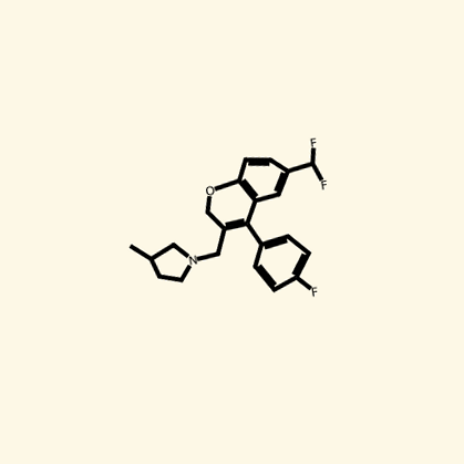 CC1CCN(CC2=C(c3ccc(F)cc3)c3cc(C(F)F)ccc3OC2)C1